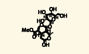 COC(=O)C1=CO[C@@H](O[C@@H]2O[C@H](CO)[C@@H](O)[C@H](O)[C@H]2O)[C@@H]2[C@H](C)O[C@@H](O)C[C@H]12